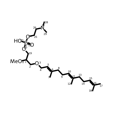 COC(COC/C=C(\C)CC/C=C(\C)CCC=C(C)C)COP(=O)(O)OCCN(C)C